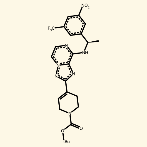 C[C@@H](Nc1nccn2nc(C3=CCN(C(=O)OC(C)(C)C)CC3)nc12)c1cc([N+](=O)[O-])cc(C(F)(F)F)c1